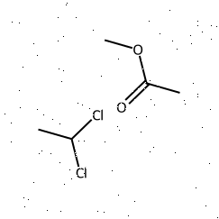 CC(Cl)Cl.COC(C)=O